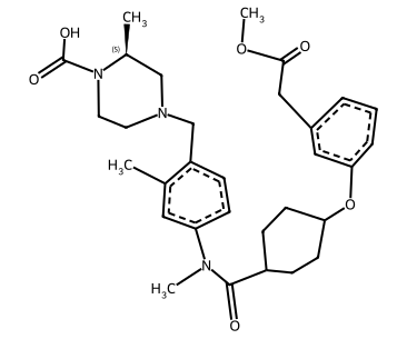 COC(=O)Cc1cccc(OC2CCC(C(=O)N(C)c3ccc(CN4CCN(C(=O)O)[C@@H](C)C4)c(C)c3)CC2)c1